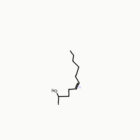 CCCCC/C=C\CCC(C)O